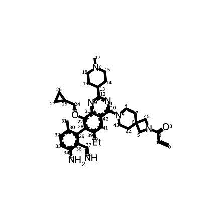 C=CC(=O)N1CC2(CCN(c3nc(C4CCN(C)CC4)nc4c(OCC5CC5)c(-c5c(C)ccc(N)c5C=N)c(CC)cc34)CC2)C1